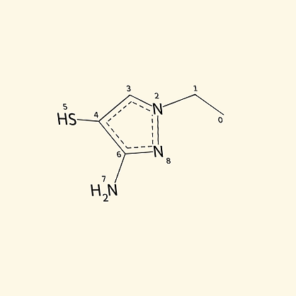 CCn1cc(S)c(N)n1